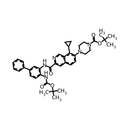 CC(C)(C)OC(=O)Nc1ccc(-c2ccccc2)cc1NC(=O)c1cc2ccc(N3CCN(C(=O)OC(C)(C)C)CC3)c(C3CC3)c2cn1